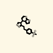 CS(=O)(=O)c1ccc(CCC2=NN=CC2C2C=CN=C3N=CC=C32)cc1